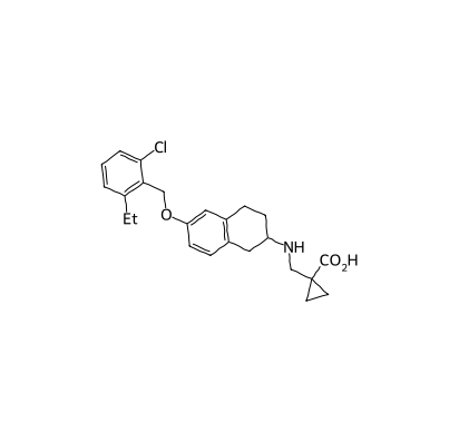 CCc1cccc(Cl)c1COc1ccc2c(c1)CCC(NCC1(C(=O)O)CC1)C2